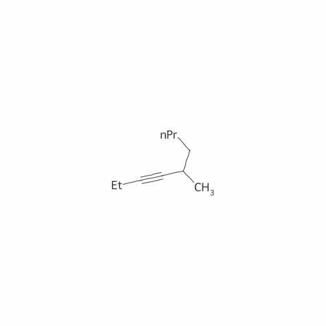 [CH2]CCCC(C)C#CCC